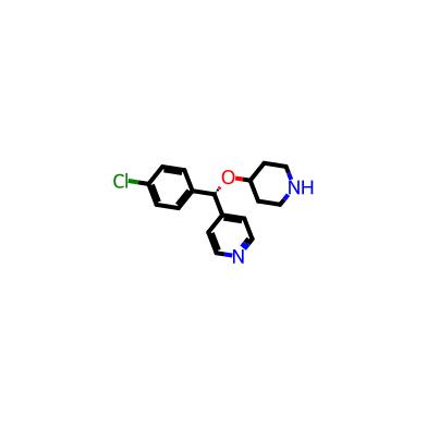 Clc1ccc([C@H](OC2CCNCC2)c2ccncc2)cc1